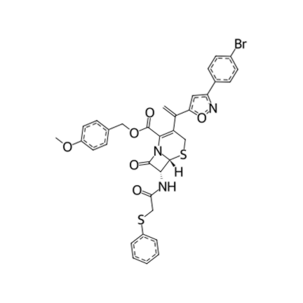 C=C(C1=C(C(=O)OCc2ccc(OC)cc2)N2C(=O)[C@@H](NC(=O)CSc3ccccc3)[C@H]2SC1)c1cc(-c2ccc(Br)cc2)no1